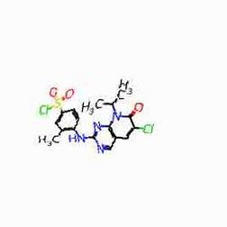 Cc1cc(S(=O)(=O)Cl)ccc1Nc1ncc2cc(Cl)c(=O)n(C(C)C)c2n1